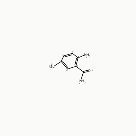 CC(C)(C)c1ccc(N)c(C(N)=O)c1